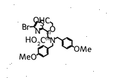 COc1ccc(CN(Cc2ccc(OC)cc2)[C@H](C(=O)O)[C@H](OCC=O)c2nc(Br)cs2)cc1